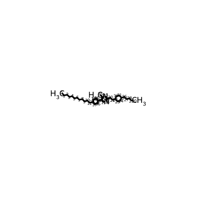 CCCCCCCCCCCCc1ccc(-c2cnc(CCC3CCC(CCCCC)CC3)nc2C)cc1